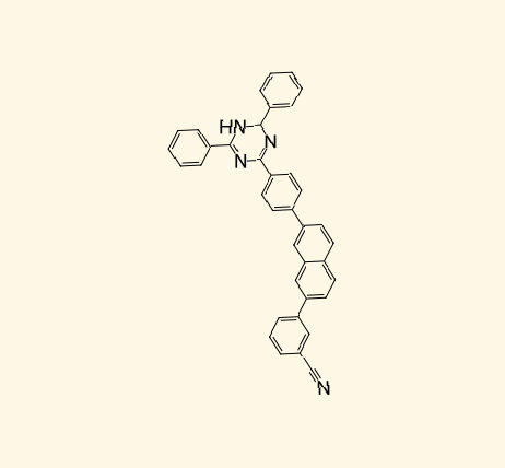 N#Cc1cccc(-c2ccc3ccc(-c4ccc(C5=NC(c6ccccc6)NC(c6ccccc6)=N5)cc4)cc3c2)c1